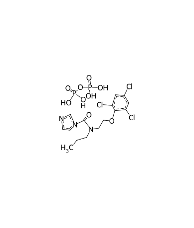 CCCN(CCOc1c(Cl)cc(Cl)cc1Cl)C(=O)n1ccnc1.O=P(O)(O)OP(=O)(O)O